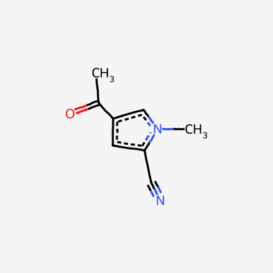 CC(=O)c1cc(C#N)n(C)c1